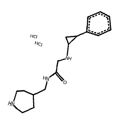 Cl.Cl.O=C(CNC1CC1c1ccccc1)NCC1CCNCC1